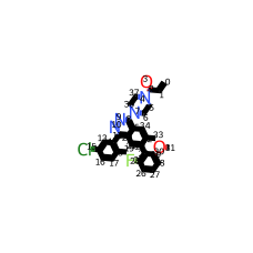 C=CC(=O)N1CCN(c2nnc(-c3cc(Cl)ccc3C)c3cc(-c4c(F)cccc4OC)c(C)cc23)CC1